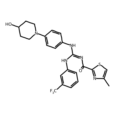 Cc1csc(C(=O)/N=C(/Nc2ccc(N3CCC(O)CC3)cc2)Nc2cccc(C(F)(F)F)c2)n1